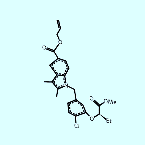 C=CCOC(=O)c1ccc2c(c1)c(C)c(C)n2Cc1ccc(Cl)c(O[C@H](CC)C(=O)OC)c1